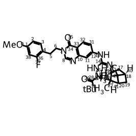 COc1ccc(CCn2cnc3cc(NC(=N[C@H]4C[C@H]5C[C@@H]([C@@H]4C)C5(C)C)NNC(=O)C(C)(C)C)ccc3c2=O)c(F)c1